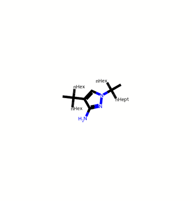 CCCCCCCC(C)(CCCCCC)n1cc(C(C)(CCCCCC)CCCCCC)c(N)n1